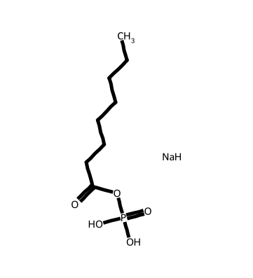 CCCCCCCC(=O)OP(=O)(O)O.[NaH]